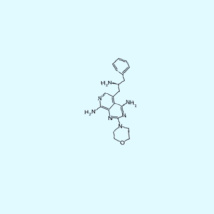 Nc1ncc(C[C@@H](N)Cc2ccccc2)c2c(N)nc(N3CCOCC3)nc12